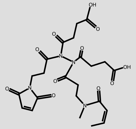 C/C=C\C(=O)N(C)CCC(=O)N(C(=O)CCC(=O)O)N(C(=O)CCC(=O)O)C(=O)CCN1C(=O)C=CC1=O